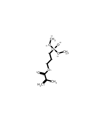 C=C(C)C(=O)OCCC[Si]([O])(OC)OC